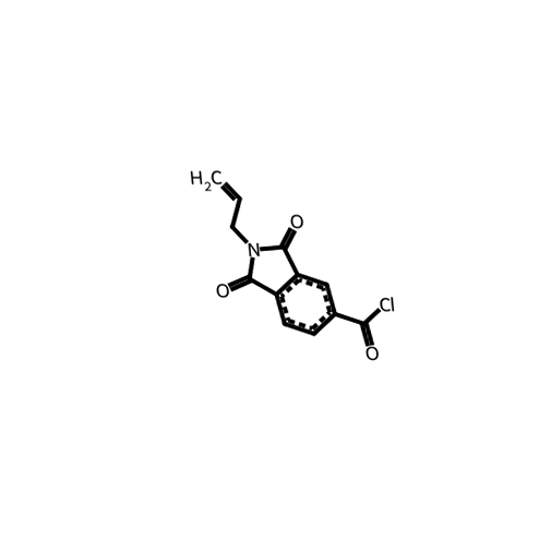 C=CCN1C(=O)c2ccc(C(=O)Cl)cc2C1=O